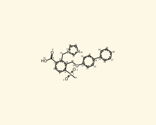 CS(=O)(=O)c1ccc(C(=O)O)c(Cn2ccnc2)c1COc1ccc(-c2ccccc2)cc1